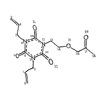 C=CCn1c(=O)n(CC=C)c(=O)n(CCOCC(C)=O)c1=O